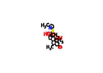 Cc1cccc(SCC(=O)[C@@]2(O)CCC3C4C[C@H](C)C5=CC(=O)C=CC5(C)C4[C@@H](O)CC32C)n1